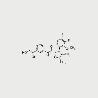 COc1c([C@H]2[C@@H](C)[C@@H](C)O[C@@H]2C(=O)Nc2ccnc([C@H](O)CO)c2)ccc(F)c1F